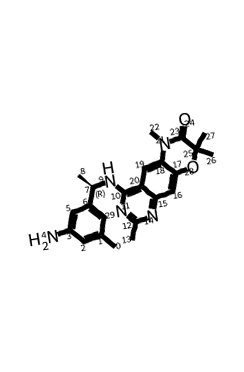 Cc1cc(N)cc([C@@H](C)Nc2nc(C)nc3cc4c(cc23)N(C)C(=O)C(C)(C)O4)c1